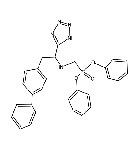 O=P(CNC(Cc1ccc(-c2ccccc2)cc1)c1nnn[nH]1)(Oc1ccccc1)Oc1ccccc1